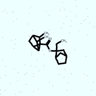 CCC1(OC(=O)C23C(C)C4CC2C3C4C)CC2CCC1C2